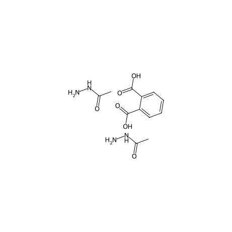 CC(=O)NN.CC(=O)NN.O=C(O)c1ccccc1C(=O)O